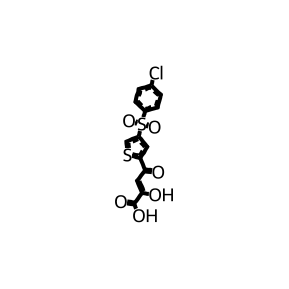 O=C(O)/C(O)=C/C(=O)c1cc(S(=O)(=O)c2ccc(Cl)cc2)cs1